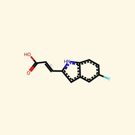 O=C(O)/C=C/c1cc2cc(F)ccc2[nH]1